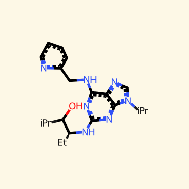 CC[C@H](Nc1nc(NCc2ccccn2)c2ncn(C(C)C)c2n1)C(O)C(C)C